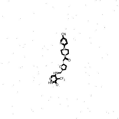 N#Cc1ccc(N2CCN(C(=O)C[C@@H]3CC[C@@H](CNc4cn[nH]c(=O)c4C(F)(F)F)O3)CC2)nc1